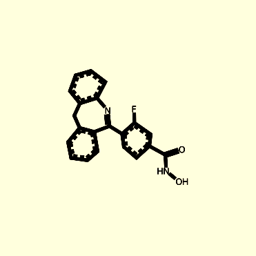 O=C(NO)c1ccc(C2=Nc3ccccc3Cc3ccccc32)c(F)c1